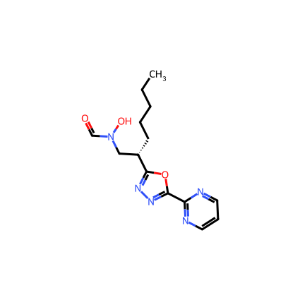 CCCCC[C@@H](CN(O)C=O)c1nnc(-c2ncccn2)o1